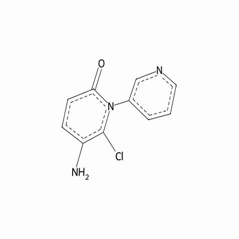 Nc1ccc(=O)n(-c2cccnc2)c1Cl